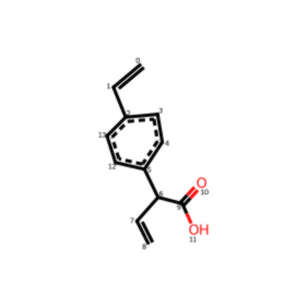 C=Cc1ccc(C(C=C)C(=O)O)cc1